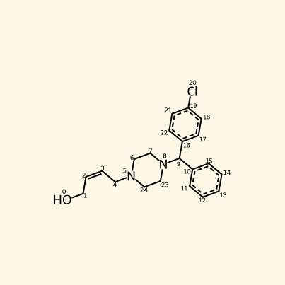 OC/C=C\CN1CCN(C(c2ccccc2)c2ccc(Cl)cc2)CC1